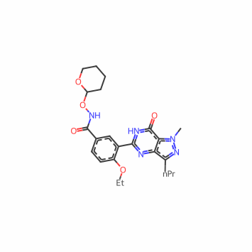 CCCc1nn(C)c2c(=O)[nH]c(-c3cc(C(=O)NOC4CCCCO4)ccc3OCC)nc12